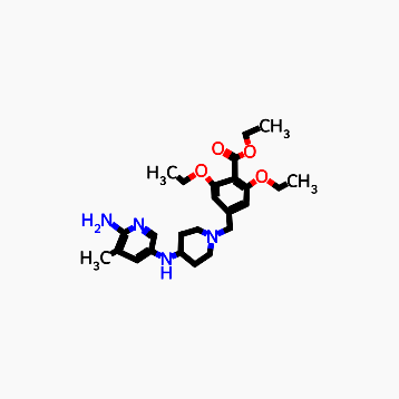 CCOC(=O)c1c(OCC)cc(CN2CCC(Nc3cnc(N)c(C)c3)CC2)cc1OCC